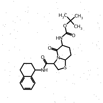 CC(C)(C)OC(=O)NC1CCC2SCC(C(=O)NC3CCCc4ccccc43)N2C1=O